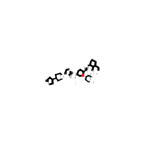 Cc1cccc2ccnc(N(C(=O)c3ccc(Nc4nccc(N5CCC(c6ccncc6)CC5)n4)cc3F)[C@@H]3CCCNC3)c12